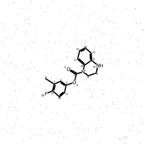 Cc1cc(OC(=O)N2CCNc3ccccc32)ccc1F